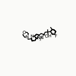 Cc1ccc(F)cc1C(C)(C)CC(O)(Cc1cc2nc(CN3CCOCC3)ccc2[nH]1)C(F)(F)F